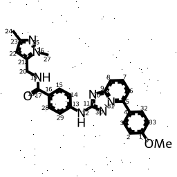 COc1ccc(-c2cccc3nc(Nc4ccc(C(=O)NCc5cc(C)nn5C)cc4)nn23)cc1